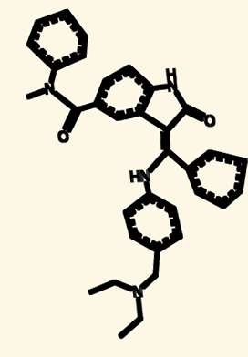 CCN(CC)Cc1ccc(NC(=C2C(=O)Nc3ccc(C(=O)N(C)c4ccccc4)cc32)c2ccccc2)cc1